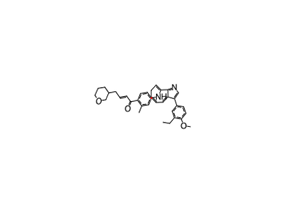 CCc1cc(C2=CN=C3/C(Nc4ccc(C(=O)/C=C/CC5CCCOC5)c(C)c4)=C/C/C=C\C=C\23)ccc1OC